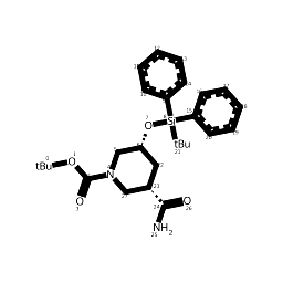 CC(C)(C)OC(=O)N1C[C@H](O[Si](c2ccccc2)(c2ccccc2)C(C)(C)C)C[C@H](C(N)=O)C1